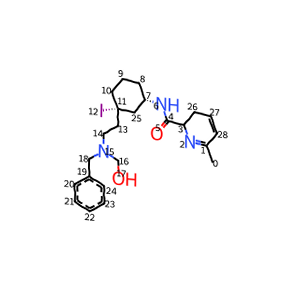 CC1=NC(C(=O)N[C@H]2CCC[C@](I)(CCN(CO)Cc3ccccc3)C2)CC=C1